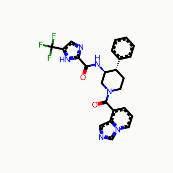 O=C(N[C@@H]1CN(C(=O)c2cccn3cncc23)CC[C@H]1c1ccccc1)c1ncc(C(F)(F)F)[nH]1